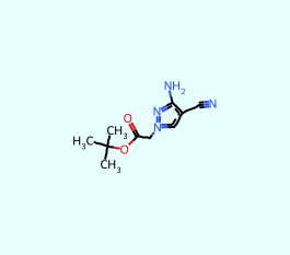 CC(C)(C)OC(=O)Cn1cc(C#N)c(N)n1